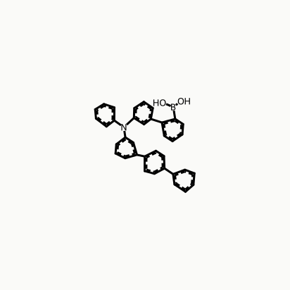 OB(O)c1ccccc1-c1cccc(N(c2ccccc2)c2cccc(-c3ccc(-c4ccccc4)cc3)c2)c1